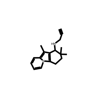 C#CCNC1c2c(C)c3ccccn3c2CCC1(C)C